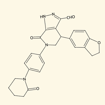 O=Cc1n[nH]c2c1C(c1ccc3c(c1)CCO3)CN(c1ccc(N3CCCCC3=O)cc1)C2=O